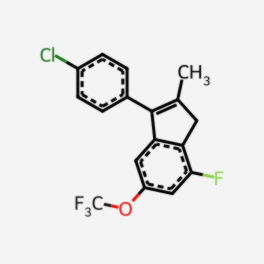 CC1=C(c2ccc(Cl)cc2)c2cc(OC(F)(F)F)cc(F)c2C1